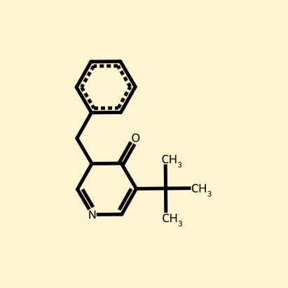 CC(C)(C)C1=CN=CC(Cc2ccccc2)C1=O